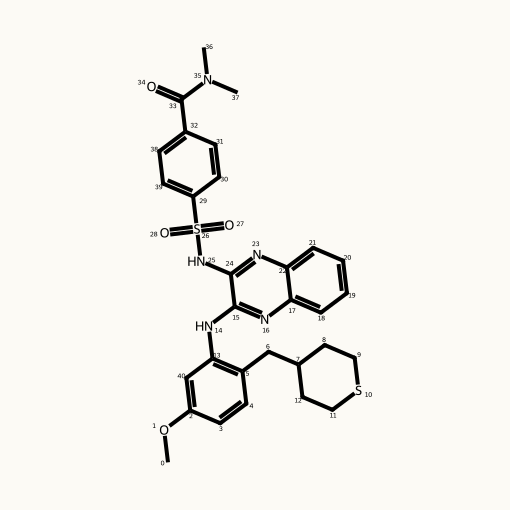 COc1ccc(CC2CCSCC2)c(Nc2nc3ccccc3nc2NS(=O)(=O)c2ccc(C(=O)N(C)C)cc2)c1